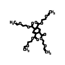 C=COCCOC(=O)c1cc(C(=O)OCCOC=C)c(C(=O)OCCOC=C)cc1C(=O)OCCOC=C